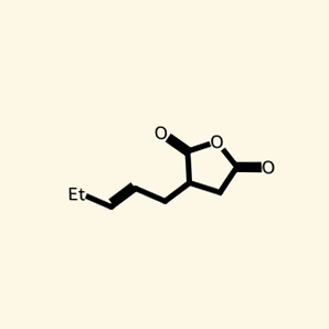 CCC=CCC1CC(=O)OC1=O